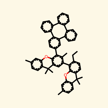 CCc1ccc2c(c1-c1cc3c(c(-c4ccc5c(c4)-c4ccccc4-c4ccccc4-c4ccccc4-5)c1C)Oc1cc(C)ccc1C3(C)C)Oc1cc(C)ccc1C2(C)C